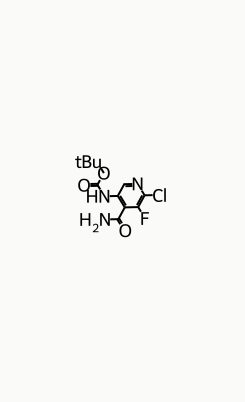 CC(C)(C)OC(=O)Nc1cnc(Cl)c(F)c1C(N)=O